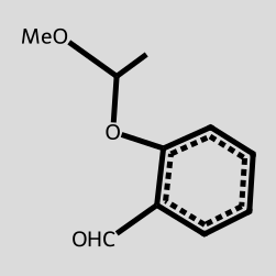 COC(C)Oc1ccccc1C=O